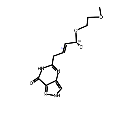 COCCO[C@@H](Cl)/C=C/Cc1nc2c[nH]nc2c(=O)[nH]1